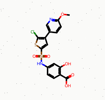 COc1ccc(-c2cc(S(=O)(=O)Nc3ccc(C(=O)O)c(O)c3)sc2Cl)cn1